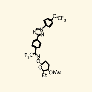 CC[C@@H]1O[C@@H](O/N=C(/c2ccc(-c3ncn(-c4ccc(OC(F)(F)F)cc4)n3)cc2)C(F)(F)F)CC[C@H]1OC